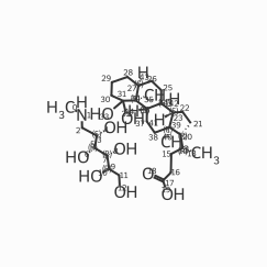 CNC[C@H](O)[C@@H](O)[C@H](O)[C@H](O)CO.C[C@H](CCC(=O)O)[C@H]1CC[C@H]2[C@@H]3CC[C@@H]4CCCC(O)(O)[C@]4(C)[C@H]3CC[C@]12C